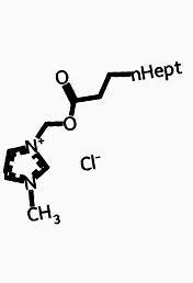 CCCCCCCCCC(=O)OC[n+]1ccn(C)c1.[Cl-]